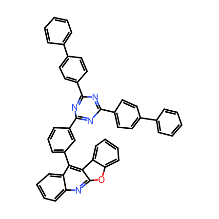 c1ccc(-c2ccc(-c3nc(-c4ccc(-c5ccccc5)cc4)nc(-c4cccc(-c5c6ccccc6nc6oc7ccccc7c56)c4)n3)cc2)cc1